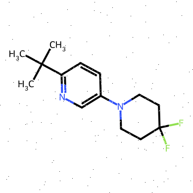 CC(C)(C)c1ccc(N2CCC(F)(F)CC2)cn1